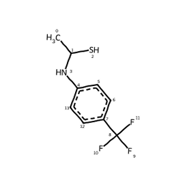 CC(S)Nc1ccc(C(F)(F)F)cc1